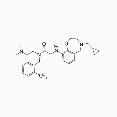 CN(C)CCN(Cc1ccccc1C(F)(F)F)C(=O)CNc1cccc2c1OCCN(CC1CC1)C2